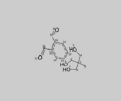 CC(CO)(CO)CO.O=Cc1ccccc1C=O